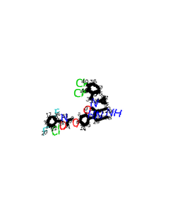 O=C(C1=C(c2ccc(OCc3coc(-c4c(F)ccc(F)c4Cl)n3)cc2)CC2CNCC1N2)N(Cc1cccc(Cl)c1Cl)C1CC1